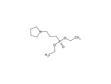 CCOP(=O)(CCCN1CCCC1)OCC